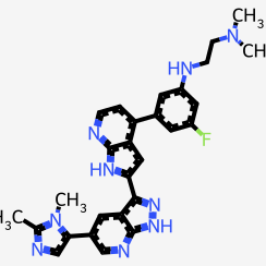 Cc1ncc(-c2cnc3[nH]nc(-c4cc5c(-c6cc(F)cc(NCCN(C)C)c6)ccnc5[nH]4)c3c2)n1C